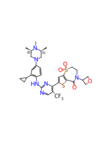 C[C@@H]1CN(c2ccc(Nc3ncc(C(F)(F)F)c(-c4cc5c(s4)C(=O)N(C4COC4)CCS5(=O)=O)n3)c(C3CC3)c2)C[C@H](C)N1C